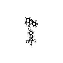 O=C1NC(=O)C(=Cc2ccc(OCCN3c4ccccc4SC4=CC=CC(=O)C43)cc2)S1